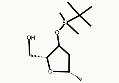 C[C@H]1CC(O[Si](C)(C)C(C)(C)C)[C@@H](CO)O1